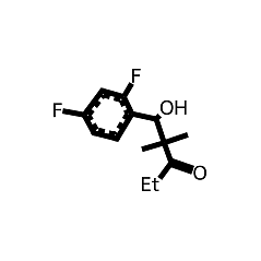 CCC(=O)C(C)(C)C(O)c1ccc(F)cc1F